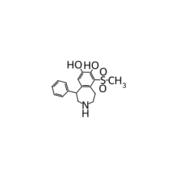 CS(=O)(=O)c1c(O)c(O)cc2c1CCNCC2c1ccccc1